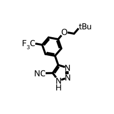 CC(C)(C)COc1cc(-c2nn[nH]c2C#N)cc(C(F)(F)F)c1